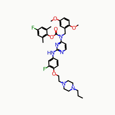 CCCN1CCN(CCOc2ccc(Nc3nccc(N(Cc4cc(OC)ccc4OC)C(=O)Oc4c(C)cc(F)cc4C)n3)cc2F)CC1